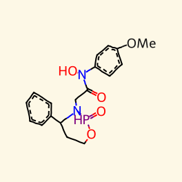 COc1ccc(N(O)C(=O)CN2C(c3ccccc3)CCO[PH]2=O)cc1